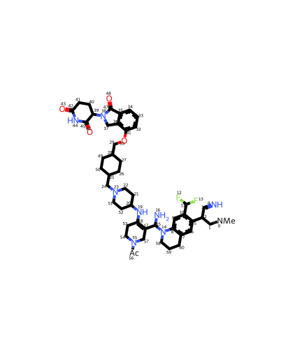 CNCC(C=N)c1cc2c(cc1C(F)F)N(C(N)C1=C(NC3CCN(CC4CCC(COc5cccc6c5CN(C5CCC(=O)NC5=O)C6=O)CC4)CC3)CCN(C(C)=O)C1)CCC2